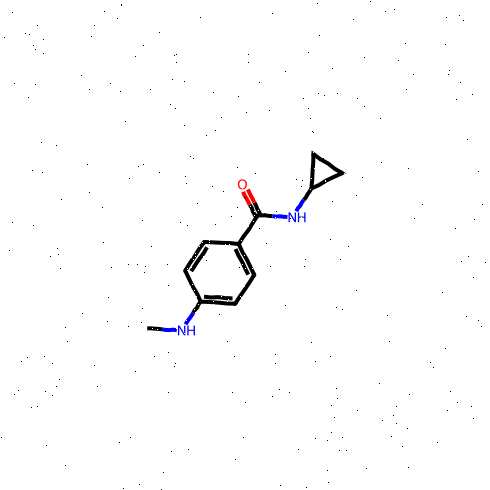 CNc1ccc(C(=O)NC2CC2)cc1